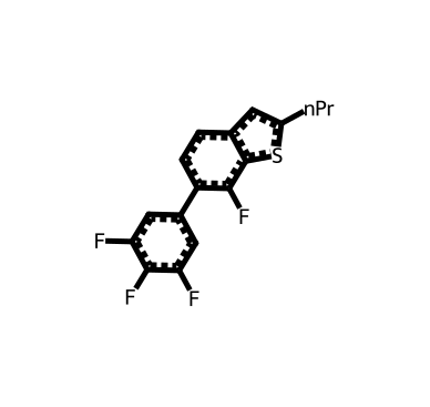 CCCc1cc2ccc(-c3cc(F)c(F)c(F)c3)c(F)c2s1